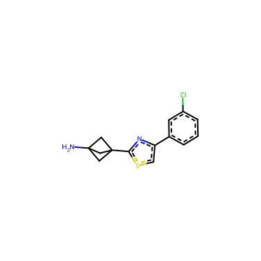 NC12CC(c3nc(-c4cccc(Cl)c4)cs3)(C1)C2